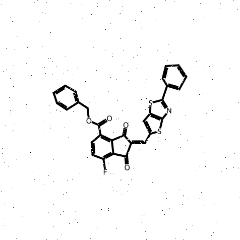 O=C(OCc1ccccc1)c1ccc(F)c2c1C(=O)/C(=C\c1cc3sc(-c4ccccc4)nc3s1)C2=O